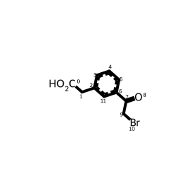 O=C(O)Cc1cccc(C(=O)CBr)c1